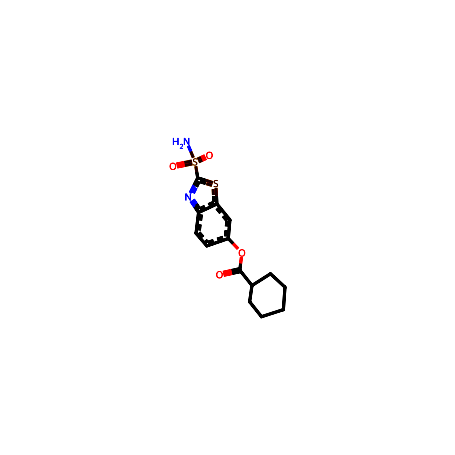 NS(=O)(=O)c1nc2ccc(OC(=O)C3CCCCC3)cc2s1